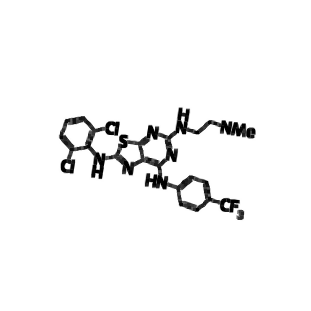 CNCCNc1nc(Nc2ccc(C(F)(F)F)cc2)c2nc(Nc3c(Cl)cccc3Cl)sc2n1